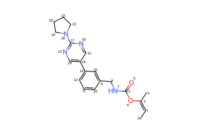 C/C=C(/C)OC(=O)NCc1cccc(-c2cnc(N3CCCC3)nc2)c1